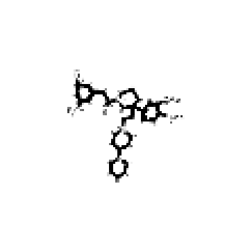 COc1ccc(C2(CCN3CCC(N4CCCCC4)CC3)CCCN(C(=O)Cc3cc(C(F)(F)F)cc(C(F)(F)F)c3)C2)cc1OC